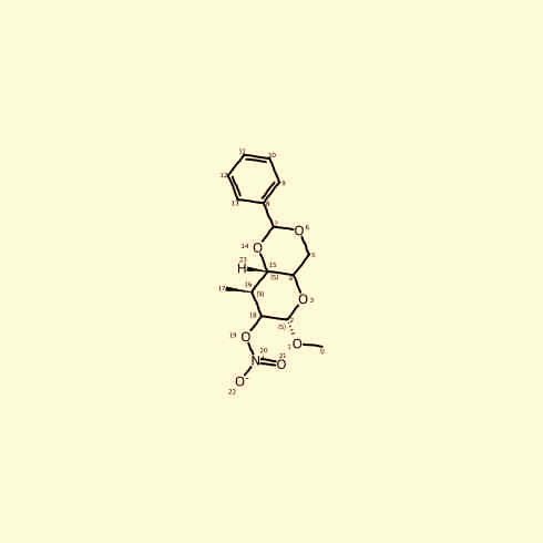 CO[C@H]1OC2COC(c3ccccc3)O[C@H]2[C@H](C)C1O[N+](=O)[O-]